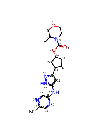 CC1COCCN1C(=O)OC1CCC(c2cc(Nc3cnc(C#N)cn3)[nH]n2)C1